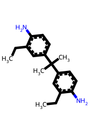 CCc1cc(C(C)(C)c2ccc(N)c(CC)c2)ccc1N